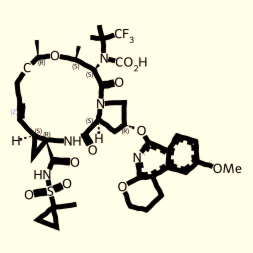 COc1ccc2c(O[C@@H]3C[C@H]4C(=O)N[C@]5(C(=O)NS(=O)(=O)C6(C)CC6)C[C@H]5/C=C\CC[C@@H](C)O[C@@H](C)[C@H](N(C(=O)O)C(C)(C)C(F)(F)F)C(=O)N4C3)nc3c(c2c1)CCCO3